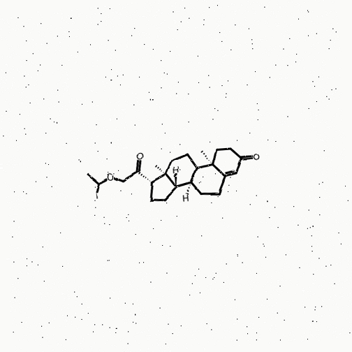 CC(I)OCC(=O)[C@H]1CC[C@H]2[C@@H]3CCC4=CC(=O)CC[C@]4(C)C3CC[C@]12C